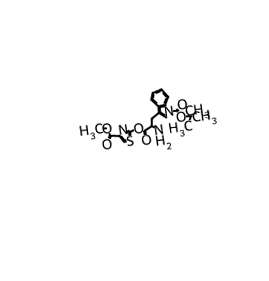 COC(=O)c1csc(OC(=O)C(N)Cc2cn(C(=O)OC(C)(C)C)c3ccccc23)n1